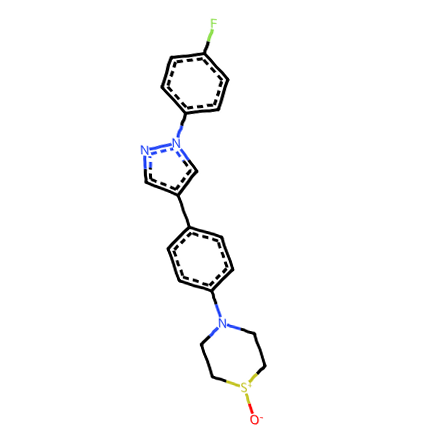 [O-][S+]1CCN(c2ccc(-c3cnn(-c4ccc(F)cc4)c3)cc2)CC1